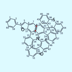 c1ccc(-c2cc3cccc(-c4ccccc4N(c4cccc5c4-c4ccccc4C54c5ccccc5Sc5ccccc54)c4cccc5oc6ccccc6c45)c3o2)cc1